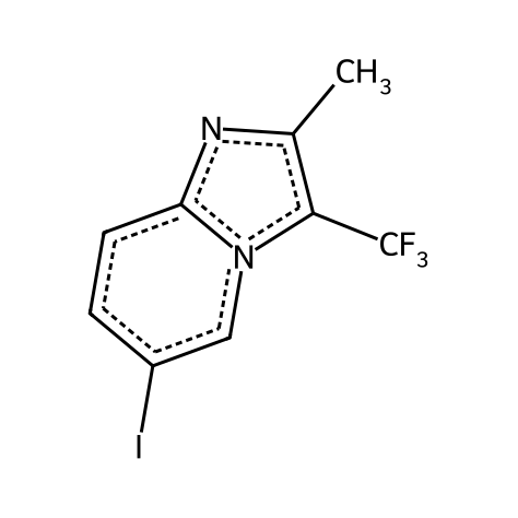 Cc1nc2ccc(I)cn2c1C(F)(F)F